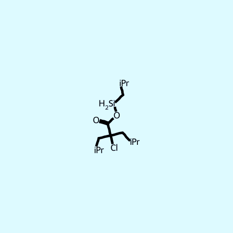 CC(C)C[SiH2]OC(=O)C(Cl)(CC(C)C)CC(C)C